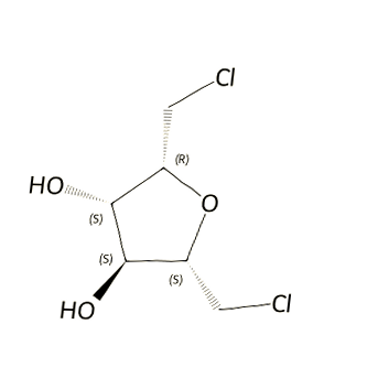 O[C@H]1[C@H](O)[C@@H](CCl)O[C@H]1CCl